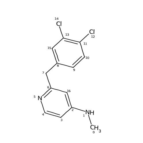 CNc1ccnc(Cc2ccc(Cl)c(Cl)c2)c1